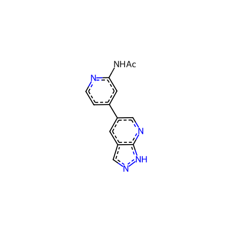 CC(=O)Nc1cc(-c2cnc3[nH]ncc3c2)ccn1